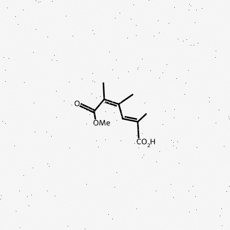 COC(=O)C(C)=C(C)C=C(C)C(=O)O